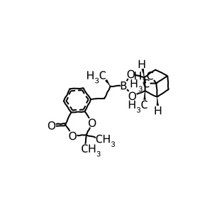 C[C@H](Cc1cccc2c1OC(C)(C)OC2=O)B1O[C@@H]2CC3C[C@@H](C3(C)C)[C@]2(C)O1